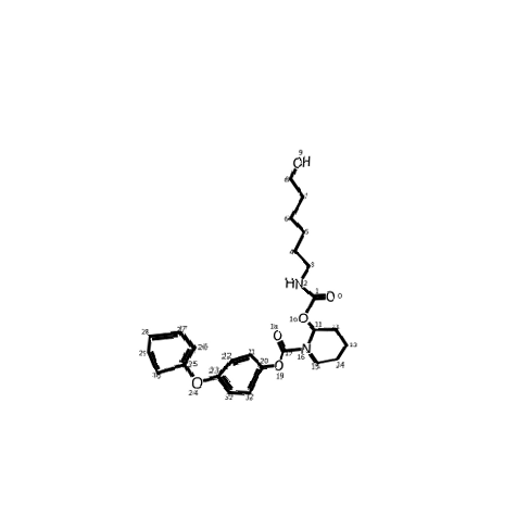 O=C(NCCCCCCO)OC1CCCCN1C(=O)Oc1ccc(Oc2ccccc2)cc1